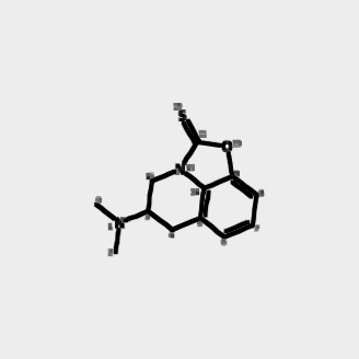 CN(C)C1Cc2cccc3oc(=S)n(c23)C1